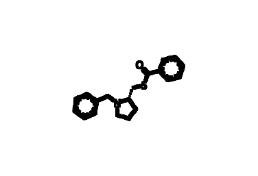 O=C(SC[C@@H]1CCCN1Cc1ccccc1)c1ccccc1